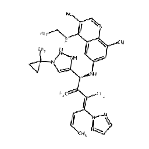 C=C(/C(C)=C(\C=C/C)n1nccn1)[C@H](Nc1cc(C#N)c2ncc(C#N)c(NCC(C)(C)C)c2c1)C1=CN(C2(C(F)(F)F)CC2)NN1